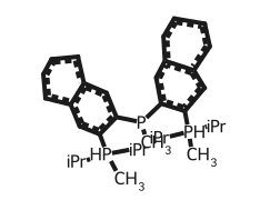 CC(C)[PH](C)(c1cc2ccccc2cc1P(C)c1cc2ccccc2cc1[PH](C)(C(C)C)C(C)C)C(C)C